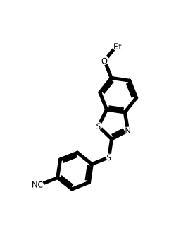 CCOc1ccc2nc(Sc3ccc(C#N)cc3)sc2c1